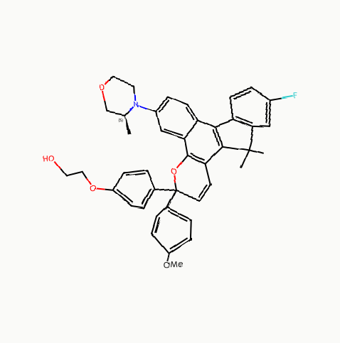 COc1ccc(C2(c3ccc(OCCO)cc3)C=Cc3c4c(c5ccc(N6CCOC[C@@H]6C)cc5c3O2)-c2ccc(F)cc2C4(C)C)cc1